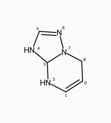 C1=CNC2NC=NN2C1